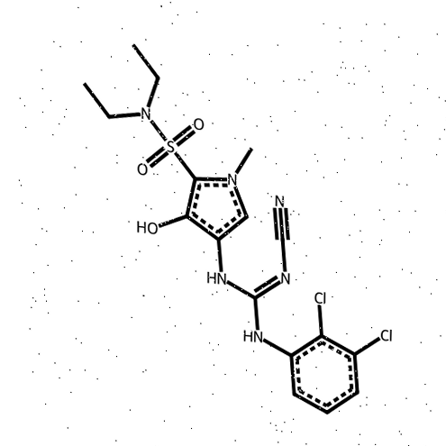 CCN(CC)S(=O)(=O)c1c(O)c(NC(=NC#N)Nc2cccc(Cl)c2Cl)cn1C